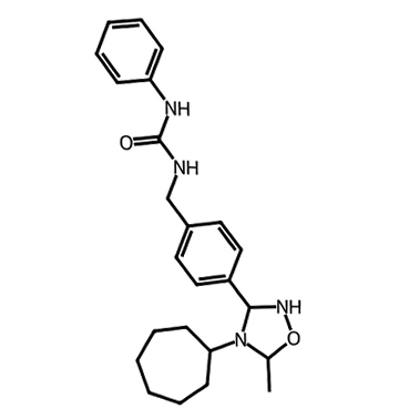 CC1ONC(c2ccc(CNC(=O)Nc3ccccc3)cc2)N1C1CCCCCC1